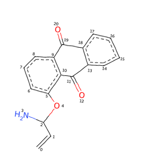 C=CC(N)Oc1cccc2c1C(=O)c1ccccc1C2=O